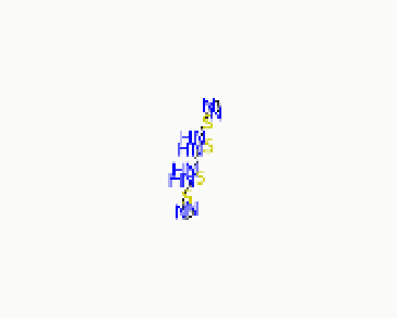 S=C(NCCCNC(=S)NCCSCc1ncccn1)NCCSCc1ncccn1